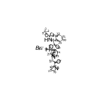 CC(C)(C)OC(=O)NC(C(=O)O[C@H]1C[N+]2(CC(=O)c3nccs3)CCC1CC2)c1ccccc1.[Br-]